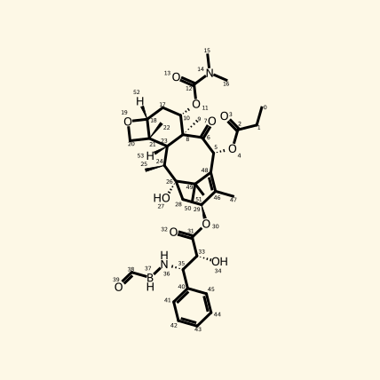 CCC(=O)O[C@H]1C(=O)[C@]2(C)[C@@H](OC(=O)N(C)C)C[C@H]3OC[C@@]3(C)[C@H]2[C@H](C)[C@]2(O)C[C@H](OC(=O)[C@H](O)[C@@H](NBC=O)c3ccccc3)C(C)=C1C2(C)C